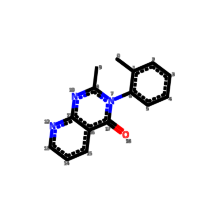 Cc1ccccc1-n1c(C)nc2ncccc2c1=O